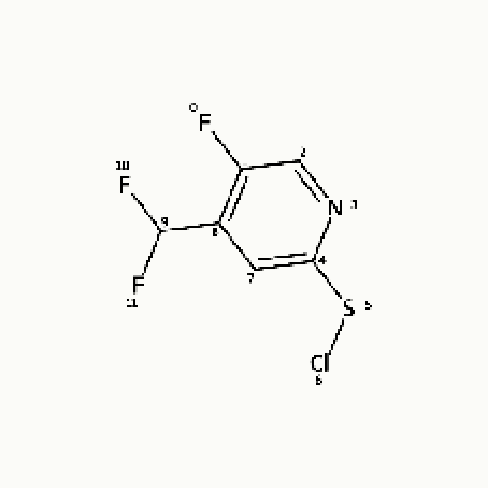 Fc1cnc(SCl)cc1C(F)F